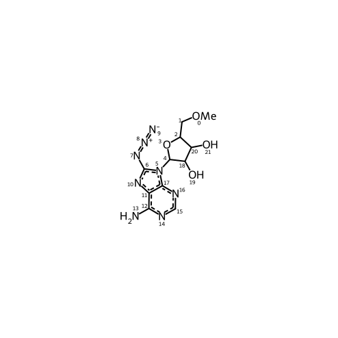 COCC1OC(n2c(N=[N+]=[N-])nc3c(N)ncnc32)C(O)C1O